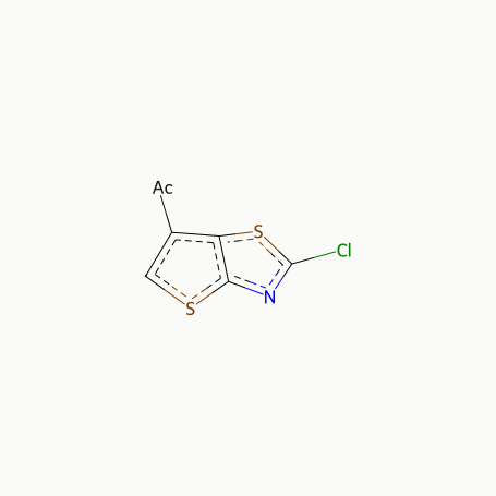 CC(=O)c1csc2nc(Cl)sc12